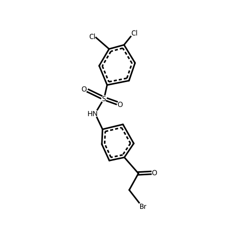 O=C(CBr)c1ccc(NS(=O)(=O)c2ccc(Cl)c(Cl)c2)cc1